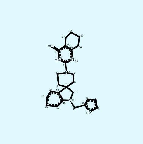 O=c1[nH]c(N2CCC3(CC2)CN(Cc2cccs2)c2ccccc23)nc2c1CCCC2